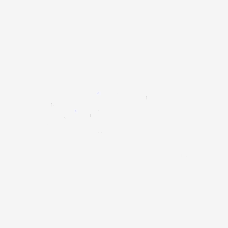 CCOC(=O)Cn1c(=O)/c(=C\c2ccc3c(c2)C2CCCC2N3c2ccc3cc(CO)ccc3c2)s/c1=C1/SC(=S)N(CC)C1=O